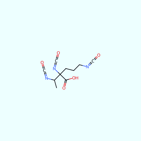 CC(N=C=O)C(CCCN=C=O)(N=C=O)C(=O)O